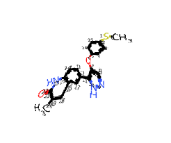 CSc1ccc(Oc2cn[nH]c2-c2ccc3c(c2)CC(C)C(=O)N3)cc1